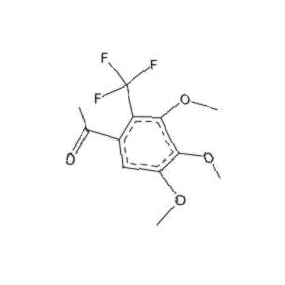 COc1cc(C(C)=O)c(C(F)(F)F)c(OC)c1OC